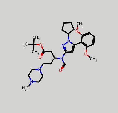 COc1cccc(OC)c1-c1cc(N(C=O)[C@@H](CCN2CCN(C)CC2)CC(=O)OC(C)(C)C)nn1C1CCCC1